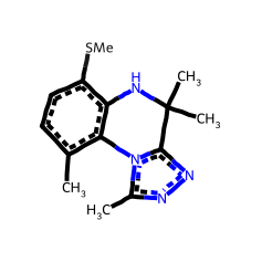 CSc1ccc(C)c2c1NC(C)(C)c1nnc(C)n1-2